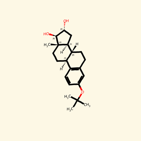 CC(C)(C)Oc1ccc2c(c1)CC[C@@H]1[C@@H]2CC[C@]2(C)[C@@H](O)[C@H](O)C[C@@H]12